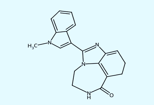 Cn1cc(-c2nc3c4n2CCNC(=O)C=4CCC=3)c2ccccc21